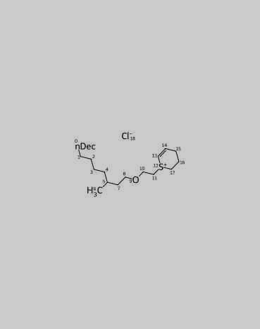 CCCCCCCCCCCCCCC(C)CCOCC[S+]1C=CCCC1.[Cl-]